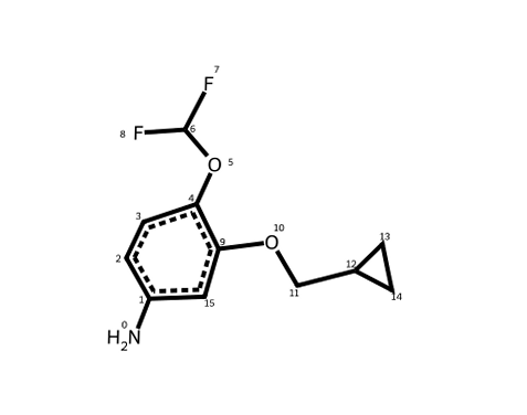 Nc1ccc(OC(F)F)c(OCC2CC2)c1